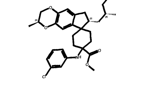 COC(=O)C1(Nc2cccc(Cl)c2)CCC2(CC1)c1cc3c(cc1C[C@@H]2C[C@@H](C)CO)OC[C@H](C)O3